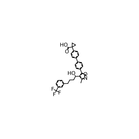 Cc1noc(-c2ccc(-c3ccc(C4(C(=O)O)CC4)cc3)cc2)c1C(O)CCCc1cccc(C(F)(F)F)c1